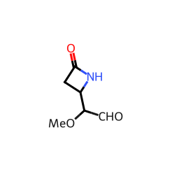 COC(C=O)C1CC(=O)N1